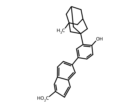 CC12CC3CC(C1)CC(c1cc(-c4ccc5cc(C(=O)O)ccc5c4)ccc1O)(C3)C2